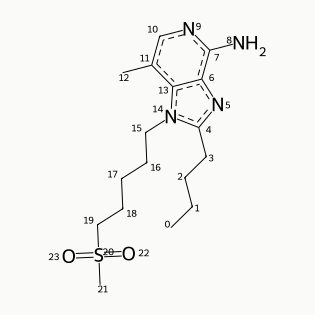 CCCCc1nc2c(N)ncc(C)c2n1CCCCCS(C)(=O)=O